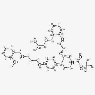 COc1ccccc1COCCCOc1ccc(C2CCN(C(=O)OC(C)(C)C)CC2OCCOc2ccccc2COCC(C)O)cc1